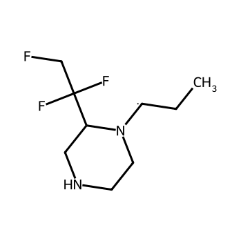 CC[CH]N1CCNCC1C(F)(F)CF